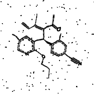 C=C/C(C)=C(/C(C)=O)[C@@H](c1ccc(C#N)cc1C)c1cc(C)cnc1OCCC